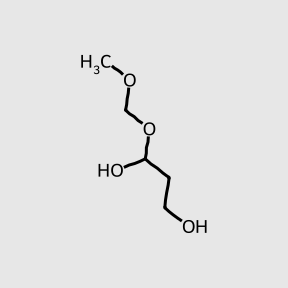 COCOC(O)CCO